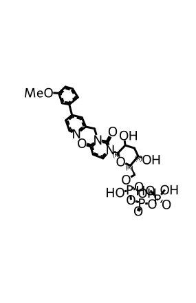 COc1cccc(-c2ccnc(Cn3c(=O)ccn([C@@H]4O[C@H](COP(=O)(O)OP(=O)(O)OP(=O)(O)O)[C@H](O)CC4O)c3=O)c2)c1